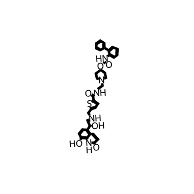 O=C(Nc1ccccc1-c1ccccc1)OC1CCN(CCNC(=O)c2ccc(CNC[C@@H](O)c3ccc(O)c4[nH]c(=O)ccc34)s2)CC1